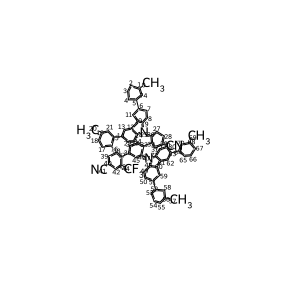 Cc1cccc(-c2ccc3c(c2)c2cc(-c4cccc(C)c4)ccc2n3-c2ccc(C#N)cc2-c2ccc(-c3ccc(C#N)cc3C(F)(F)F)cc2-n2c3ccc(-c4cccc(C)c4)cc3c3cc(-c4cccc(C)c4)ccc32)c1